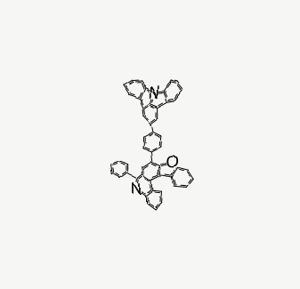 c1ccc(-c2nc3ccccc3c3c2cc(-c2ccc(-c4cc5c6ccccc6n6c7ccccc7c(c4)c56)cc2)c2oc4ccccc4c23)cc1